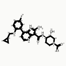 CCC(=O)N1CC[C@@H](NC(=O)c2c(C)[nH]c3c(-c4cc(F)ccc4OCC4CC4)ccnc23)[C@H](O)C1